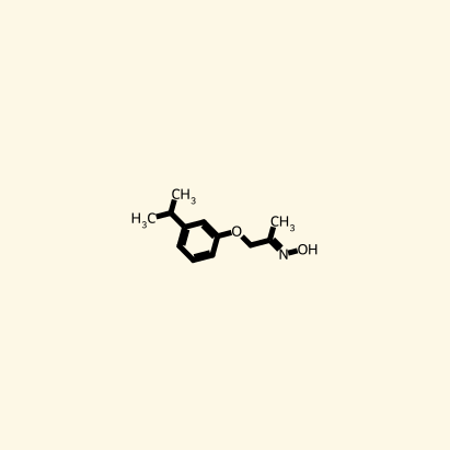 C/C(COc1cccc(C(C)C)c1)=N\O